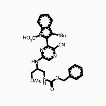 COCC(CNC(=O)OCc1ccccc1)Nc1cnc(C#N)c(-c2c(C(C)(C)C)c3ccccc3n2C(=O)O)n1